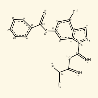 N=C(SC(=N)n1ncc2c(F)cc(SC(=O)c3ccccc3)cc21)C(F)F